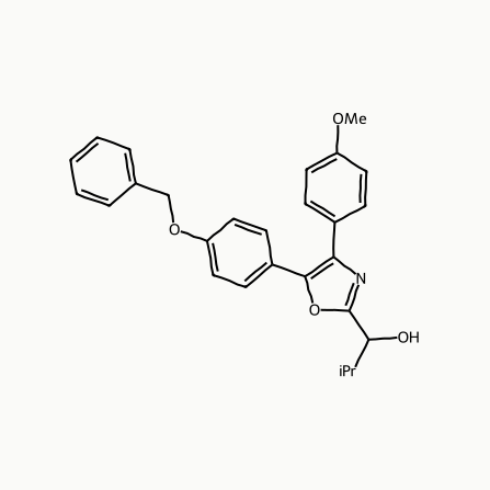 COc1ccc(-c2nc(C(O)C(C)C)oc2-c2ccc(OCc3ccccc3)cc2)cc1